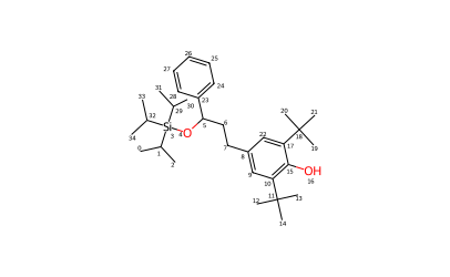 CC(C)[Si](OC(CCc1cc(C(C)(C)C)c(O)c(C(C)(C)C)c1)c1ccccc1)(C(C)C)C(C)C